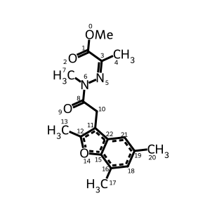 COC(=O)C(C)=NN(C)C(=O)Cc1c(C)oc2c(C)cc(C)cc12